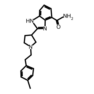 Cc1ccc(CCN2CCC(c3nc4c(C(N)=O)cccc4[nH]3)C2)cc1